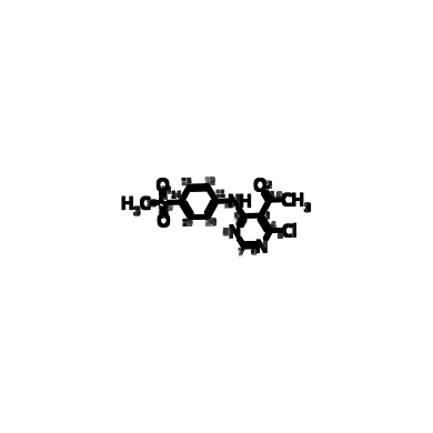 CC(=O)c1c(Cl)ncnc1Nc1ccc(S(C)(=O)=O)cc1